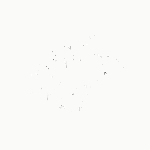 CC(NC(=O)c1ncnc2nn(CCN3CCOCC3)cc12)c1ncc(C(=O)Nc2cc(C(F)(F)F)c(Cl)cn2)s1